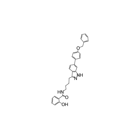 O=C(NCCCCc1n[nH]c2cc(-c3ccc(OCc4ccccc4)cc3)ccc12)c1ccccc1O